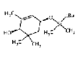 CC1=C[C@@H](O[Si](C)(C)C(C)(C)C)CC(C)(C)[C@H]1O